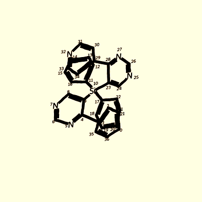 c1ccc(-c2ncncc2[Si](c2ccccc2)(c2ccccc2)c2cncnc2-c2ccncc2)cc1